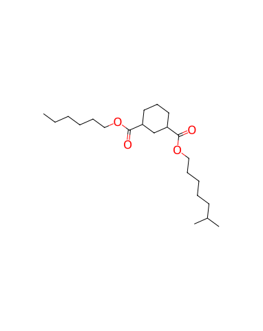 CCCCCCOC(=O)C1CCCC(C(=O)OCCCCCC(C)C)C1